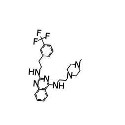 CN1CCN(CCNc2nc(NCCc3cccc(C(F)(F)F)c3)nc3ccccc23)CC1